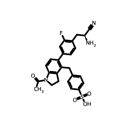 CC(=O)N1CCc2c1ccc(-c1ccc(C[C@H](N)C#N)c(F)c1)c2Cc1ccc(S(=O)(=O)O)cc1